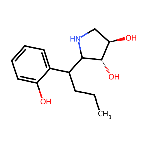 CCCC(c1ccccc1O)C1NC[C@@H](O)[C@@H]1O